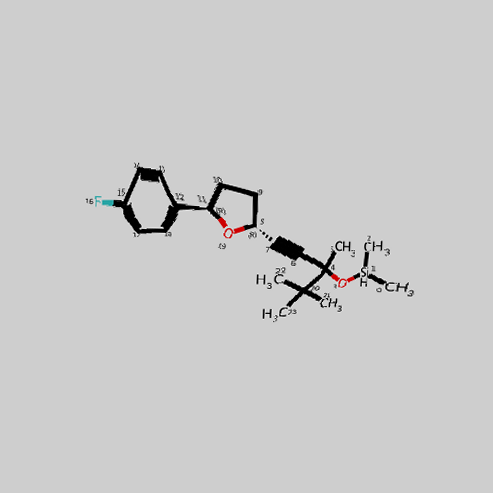 C[SiH](C)OC(C)(C#C[C@H]1CC[C@H](c2ccc(F)cc2)O1)C(C)(C)C